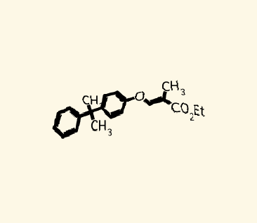 CCOC(=O)C(C)=COc1ccc(C(C)(C)c2ccccc2)cc1